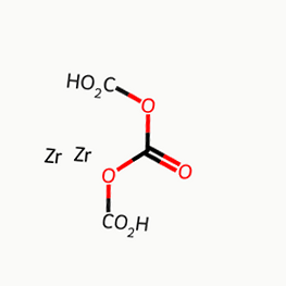 O=C(O)OC(=O)OC(=O)O.[Zr].[Zr]